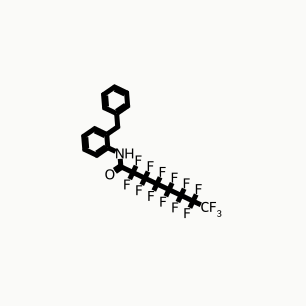 O=C(Nc1ccccc1Cc1ccccc1)C(F)(F)C(F)(F)C(F)(F)C(F)(F)C(F)(F)C(F)(F)C(F)(F)F